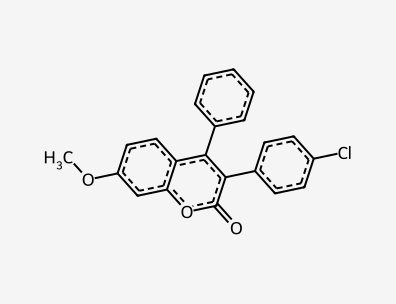 COc1ccc2c(-c3ccccc3)c(-c3ccc(Cl)cc3)c(=O)oc2c1